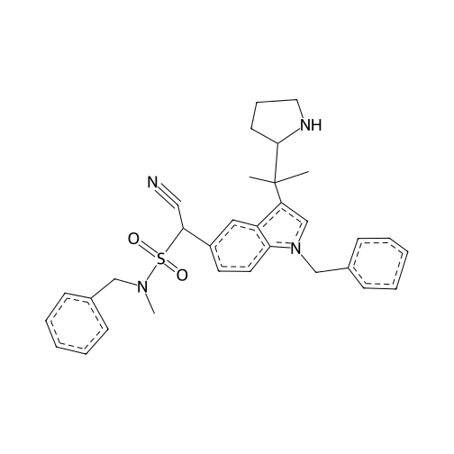 CN(Cc1ccccc1)S(=O)(=O)C(C#N)c1ccc2c(c1)c(C(C)(C)C1CCCN1)cn2Cc1ccccc1